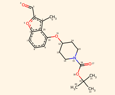 Cc1c(C=O)oc2cccc(OC3CCN(C(=O)OC(C)(C)C)CC3)c12